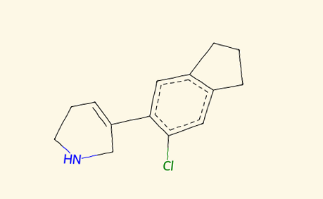 Clc1cc2c(cc1C1=CCCNC1)CCC2